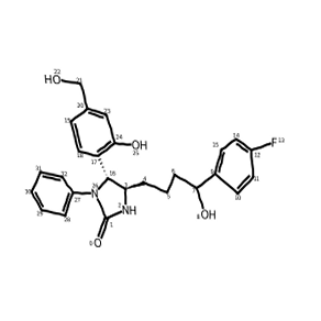 O=C1N[C@H](CCCC(O)c2ccc(F)cc2)[C@@H](c2ccc(CO)cc2O)N1c1ccccc1